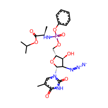 Cc1cn([C@@H]2O[C@H](COP(=O)(N[C@H](C)C(=O)OC(C)C)Oc3ccccc3)[C@@H](O)C2N=[N+]=[N-])c(=O)[nH]c1=O